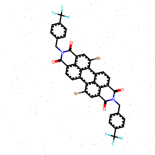 O=C1c2ccc3c4c(Br)cc5c6c(ccc(c7c(Br)cc(c2c37)C(=O)N1Cc1ccc(C(F)(F)F)cc1)c64)C(=O)N(Cc1ccc(C(F)(F)F)cc1)C5=O